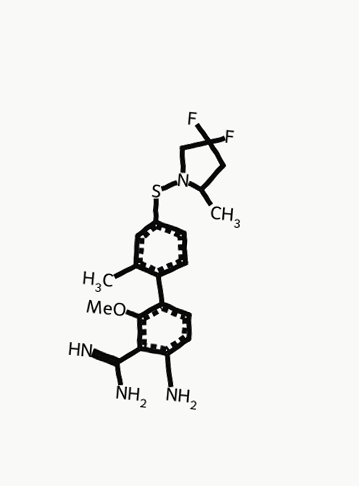 COc1c(-c2ccc(SN3CC(F)(F)CC3C)cc2C)ccc(N)c1C(=N)N